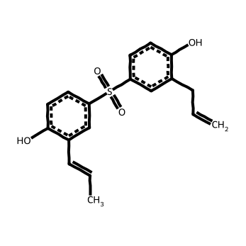 C=CCc1cc(S(=O)(=O)c2ccc(O)c(C=CC)c2)ccc1O